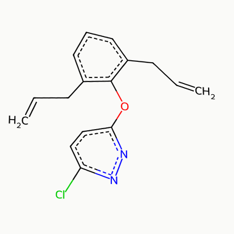 C=CCc1cccc(CC=C)c1Oc1ccc(Cl)nn1